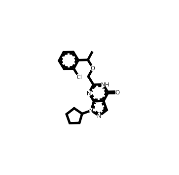 CC(OCc1nc2c(cnn2C2CCCC2)c(=O)[nH]1)c1ccccc1Cl